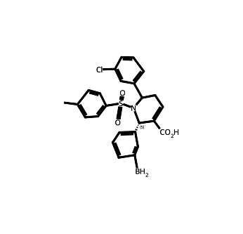 Bc1cccc([C@H]2C(C(=O)O)=CCC(c3cccc(Cl)c3)N2S(=O)(=O)c2ccc(C)cc2)c1